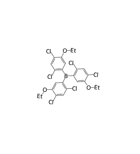 CCOc1cc(B(c2cc(OCC)c(Cl)cc2Cl)c2cc(OCC)c(Cl)cc2Cl)c(Cl)cc1Cl